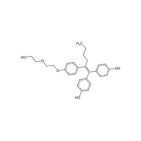 CCCCC(=C(c1ccc(O)cc1)c1ccc(O)cc1)c1ccc(OCCOCCO)cc1